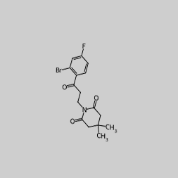 CC1(C)CC(=O)N(CCC(=O)c2ccc(F)cc2Br)C(=O)C1